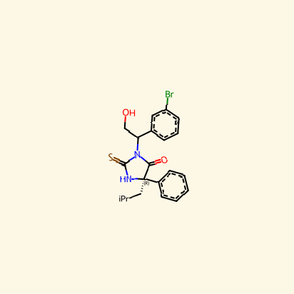 CC(C)C[C@]1(c2ccccc2)NC(=S)N(C(CO)c2cccc(Br)c2)C1=O